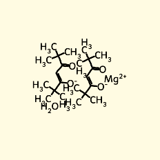 CC(C)(C)C(=O)C=C([O-])C(C)(C)C.CC(C)(C)C(=O)C=C([O-])C(C)(C)C.O.[Mg+2]